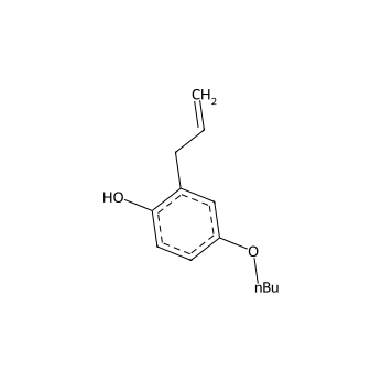 C=CCc1cc(OCCCC)ccc1O